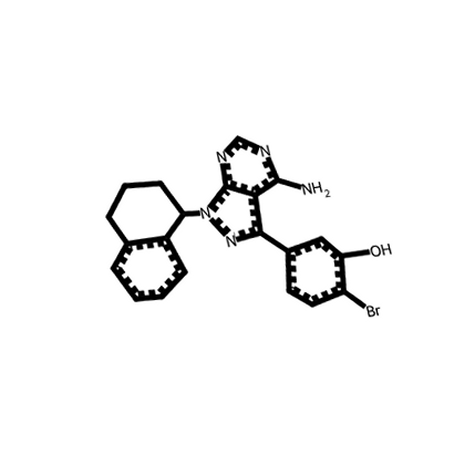 Nc1ncnc2c1c(-c1ccc(Br)c(O)c1)nn2C1CCCc2ccccc21